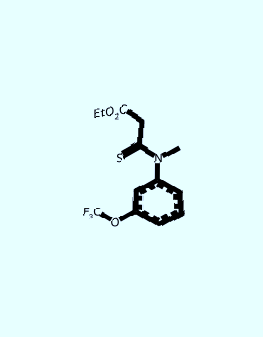 CCOC(=O)CC(=S)N(C)c1cccc(OC(F)(F)F)c1